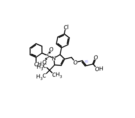 CC1=CC=CCC1S(=O)(=O)N1C(c2ccc(Cl)cc2)C(CO/C=C/C(=O)O)=CC1C(C)(C)C